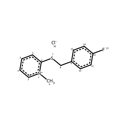 C[n+]1ccccc1SCc1ccc(F)cc1.[Cl-]